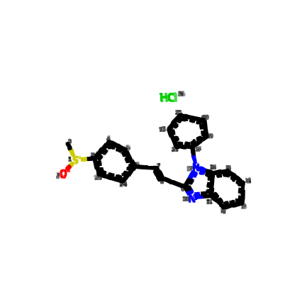 C[S+]([O-])c1ccc(/C=C/c2nc3ccccc3n2-c2ccccc2)cc1.Cl